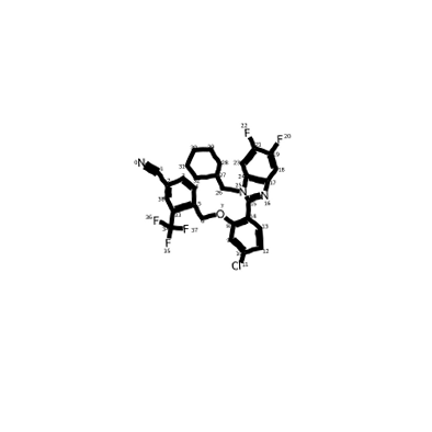 N#Cc1ccc(COc2cc(Cl)ccc2-c2nc3cc(F)c(F)cc3n2CC2CCCCC2)c(C(F)(F)F)c1